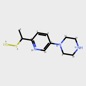 CC(SS)c1ccc(N2CCNCC2)cn1